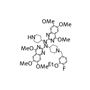 CCOc1cc(CN2CCC(N(c3nc(OC)c4cc(OC)c(OC)cc4n3)N(c3nc(OC)c4cc(OC)c(OC)cc4n3)C3CCNCC3)CC2)ccc1F